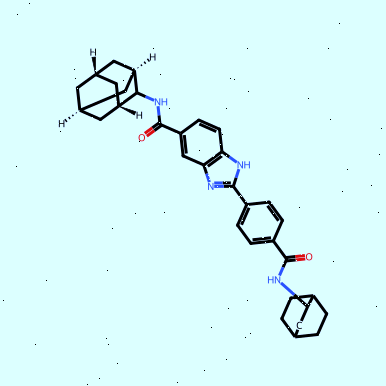 O=C(NC1CC2CCC1CC2)c1ccc(-c2nc3cc(C(=O)NC4[C@H]5C[C@@H]6C[C@@H](C[C@H]4C6)C5)ccc3[nH]2)cc1